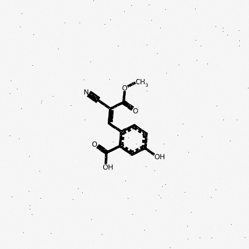 COC(=O)C(C#N)=Cc1ccc(O)cc1C(=O)O